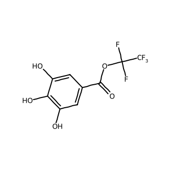 O=C(OC(F)(F)C(F)(F)F)c1cc(O)c(O)c(O)c1